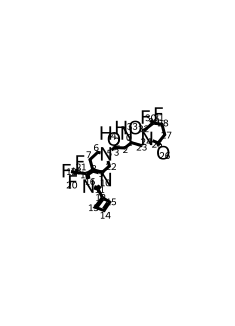 N[C@H](CC(=O)N1CCc2c(nc(C3=CC=C3)nc2C(F)(F)F)C1)CN1C(=O)CCC(F)(F)C1O